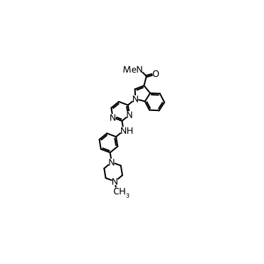 CNC(=O)c1cn(-c2ccnc(Nc3cccc(N4CCN(C)CC4)c3)n2)c2ccccc12